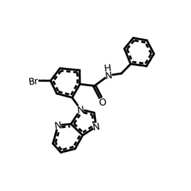 O=C(NCc1ccccc1)c1ccc(Br)cc1-n1cnc2cccnc21